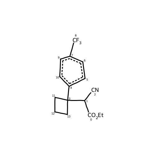 CCOC(=O)C(C#N)C1(c2ccc(C(F)(F)F)cc2)CCC1